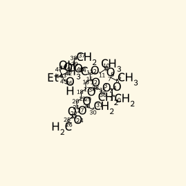 C=CC(=O)OC(C)COC(C)COC(C)C(CCCCCC(OC(=O)C=C)OC(=O)C=C)OC(=O)C=C.C=CC(=O)OCC(CC)(CO)CO